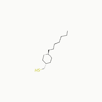 CCCCCCC[C@H]1CC[C@H](CS)CC1